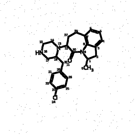 CC1Cc2cccc3c2N1C(=O)C(N1CCNCC1Cc1ccc(Cl)cc1)CC3